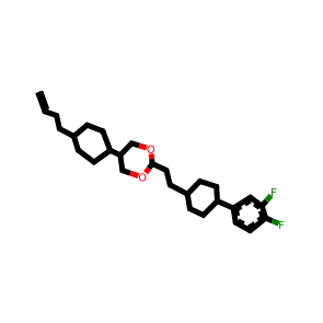 C=CCCC1CCC(C2COC(CCC3CCC(c4ccc(F)c(F)c4)CC3)OC2)CC1